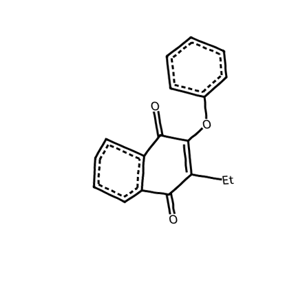 CCC1=C(Oc2ccccc2)C(=O)c2ccccc2C1=O